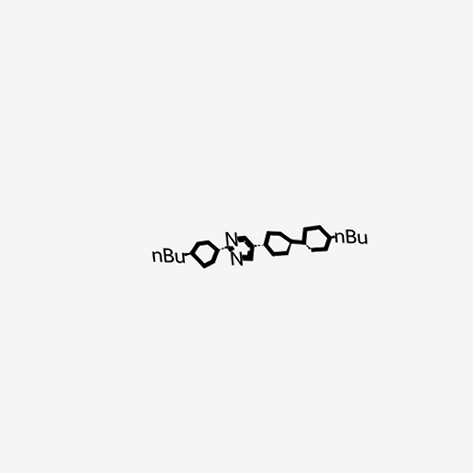 CCCC[C@H]1CC[C@H](c2ncc([C@H]3CC[C@H]([C@H]4CC[C@H](CCCC)CC4)CC3)cn2)CC1